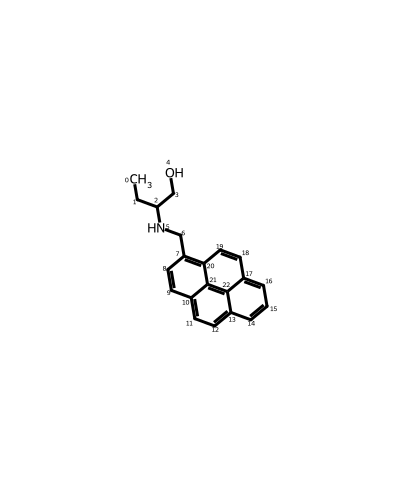 CCC(CO)NCc1ccc2ccc3cccc4ccc1c2c34